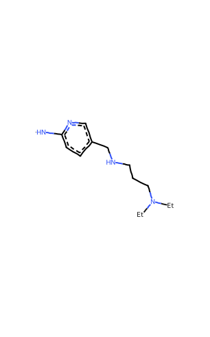 CCN(CC)CCCNCc1ccc([NH])nc1